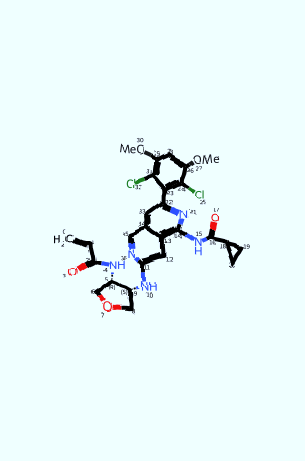 C=CC(=O)N[C@H]1COC[C@H]1Nc1cc2c(NC(=O)C3CC3)nc(-c3c(Cl)c(OC)cc(OC)c3Cl)cc2cn1